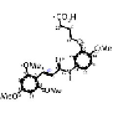 COc1cc(OC)c(/C=C/C(=O)Nc2ccc(OC)c(OCCCC(=O)O)c2)c(OC)c1